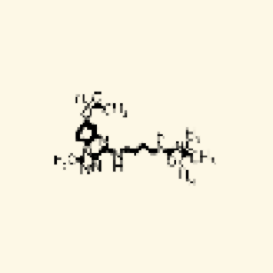 Cc1nnc2c(NCCCCNC(=O)OC(C)(C)C)nc3cc(OC(C)C)ccc3n12